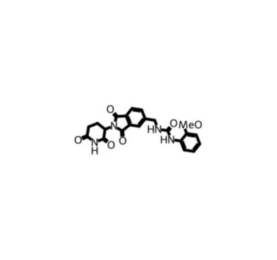 COc1ccccc1NC(=O)NCc1ccc2c(c1)C(=O)N(C1CCC(=O)NC1=O)C2=O